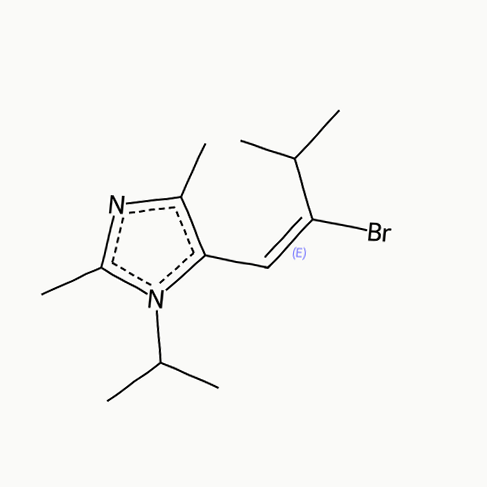 Cc1nc(C)n(C(C)C)c1/C=C(/Br)C(C)C